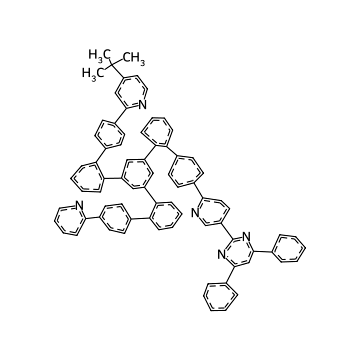 CC(C)(C)c1ccnc(-c2ccc(-c3ccccc3-c3cc(-c4ccccc4-c4ccc(-c5ccccn5)cc4)cc(-c4ccccc4-c4ccc(-c5ccc(-c6nc(-c7ccccc7)cc(-c7ccccc7)n6)cn5)cc4)c3)cc2)c1